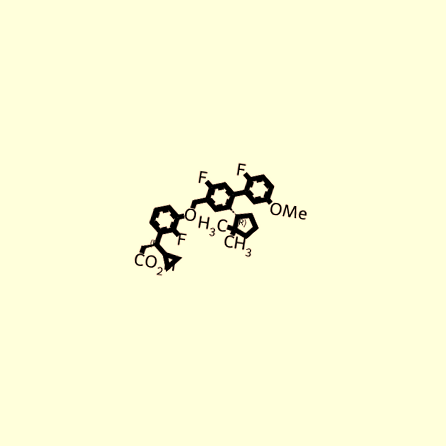 COc1ccc(F)c(-c2cc(F)c(COc3cccc([C@H](CC(=O)O)C4CC4)c3F)cc2[C@@H]2CCCC2(C)C)c1